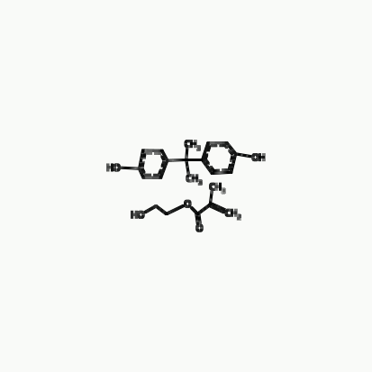 C=C(C)C(=O)OCCO.CC(C)(c1ccc(O)cc1)c1ccc(O)cc1